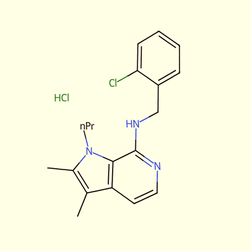 CCCn1c(C)c(C)c2ccnc(NCc3ccccc3Cl)c21.Cl